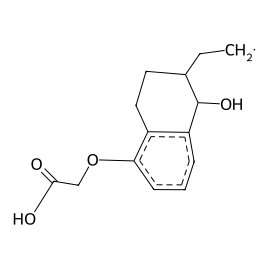 [CH2]CC1CCc2c(OCC(=O)O)cccc2C1O